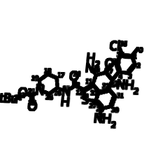 Cc1ccc([C@]2(N)C(=O)[C@H](N)c3c(C(=O)N[C@@H]4CCCN(C(=O)OC(C)(C)C)C4)sc4c(N)ccc2c34)cc1Cl